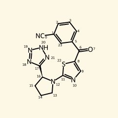 N#Cc1cccc(C(=O)c2cnc(N3CCC[C@H]3c3nn[nH]n3)s2)c1